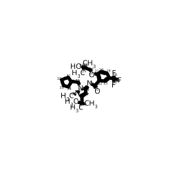 Cn1c(C(C)(C)C)cc(=NC(=O)c2cc(C(F)(F)F)ccc2OCC(C)(C)O)n1CC1CCCC1